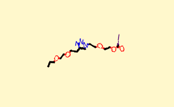 CCCOCCOCCc1cn(CCOCCOC(=O)I)nn1